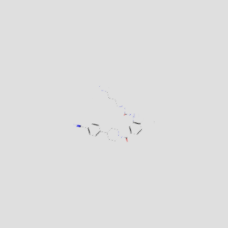 Cc1ccc(C(=O)N2CCC(c3ccc(C#N)cc3)CC2)cc1NC(=O)NCCCCN(C)C